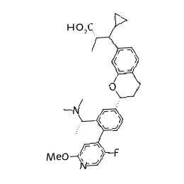 COc1cc(-c2ccc([C@H]3CCc4ccc(C(C5CC5)[C@H](C)C(=O)O)cc4O3)cc2[C@H](C)N(C)C)c(F)cn1